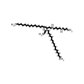 CCCCCCCCCCCCCCCCCCC(CCNCCCCNCCCN)N(CCCCCCCCCCCCCCCCCC)C(=O)CN